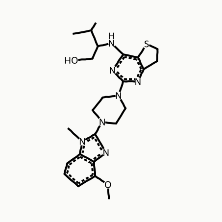 COc1cccc2c1nc(N1CCN(c3nc4c(c(NC(CO)C(C)C)n3)SCC4)CC1)n2C